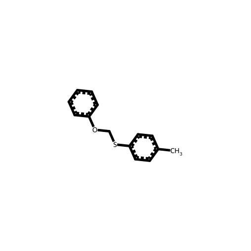 Cc1ccc(SCOc2ccccc2)cc1